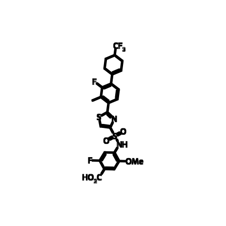 COc1cc(C(=O)O)c(F)cc1NS(=O)(=O)c1csc(-c2ccc(C3=CCC(C(F)(F)F)CC3)c(F)c2C)n1